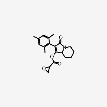 Cc1cc(I)cc(C)c1C1=C(OC(=O)C2CO2)C2CCCCN2C1=O